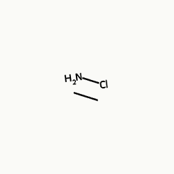 CC.NCl